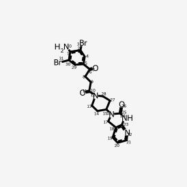 Nc1c(Br)cc(C(=O)CCC(=O)N2CCC(N3Cc4cccnc4NC3=O)CC2)cc1Br